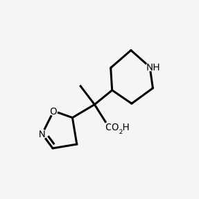 CC(C(=O)O)(C1CCNCC1)C1CC=NO1